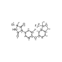 CC[C@@]1(C)NC(=O)N(c2cnc(Oc3ccc4c(c3)C(C)(C(F)(F)F)OC4)c(C)c2)C1=O